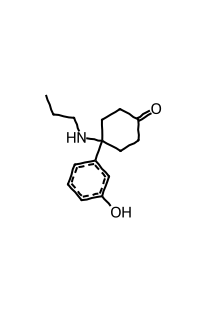 CCCNC1(c2cccc(O)c2)CCC(=O)CC1